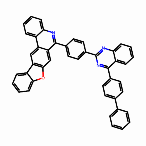 c1ccc(-c2ccc(-c3nc(-c4ccc(-c5nc6ccccc6c6cc7c(cc56)oc5ccccc57)cc4)nc4ccccc34)cc2)cc1